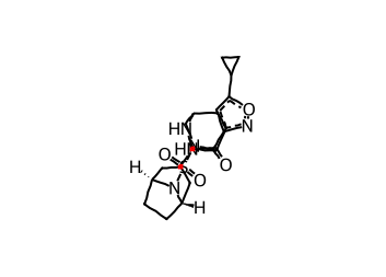 O=C(NC1C[C@@H]2CC[C@@H](C1)N2S(=O)(=O)N1CC2CCC1CN2)c1cc(C2CC2)on1